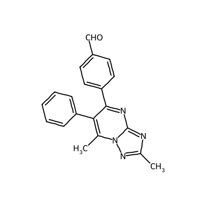 Cc1nc2nc(-c3ccc(C=O)cc3)c(-c3ccccc3)c(C)n2n1